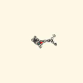 c1ccc(-c2ccc3c(c2)c2cc(-c4ccccc4)ccc2n3-c2ccc(-c3ccc(-c4ccc(N(c5ccc6c(c5)C(c5ccccc5)(c5ccccc5)c5ccccc5-6)c5ccccc5-c5ccccc5-c5ccccc5)cc4)cc3)cc2)cc1